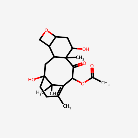 CC(=O)OC1C(=O)C2(C)C(O)CC3OCC3C2CC2(O)CCC(C)=C1C2(C)C